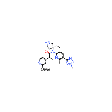 COc1cc(C(C)C(=O)N2c3nc(C)c(-c4nnn(C)n4)cc3CC[C@@]23CCNC3)ccn1